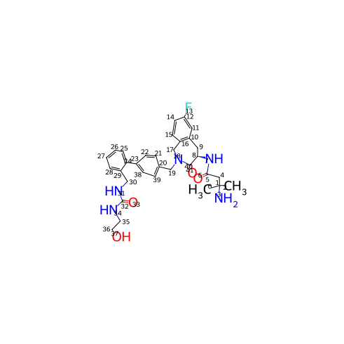 CC(C)(N)CC(=O)N[C@@H]1Cc2cc(F)ccc2CN(Cc2ccc(-c3ccccc3CNC(=O)NCCO)cc2)C1=O